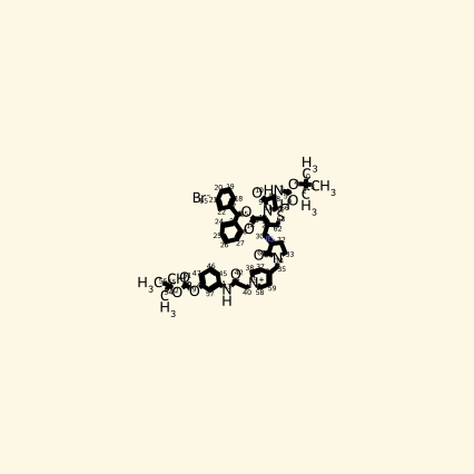 CC(C)(C)OC(=O)N[C@@H]1C(=O)N2C(C(=O)OC(c3ccccc3)c3ccccc3)=C(/C=C3\CCN(Cc4cc[n+](CC(=O)Nc5cccc(OC(=O)OC(C)(C)C)c5)cc4)C3=O)CS[C@H]12.[Br-]